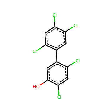 Oc1cc(-c2cc(Cl)c(Cl)cc2Cl)c(Cl)cc1Cl